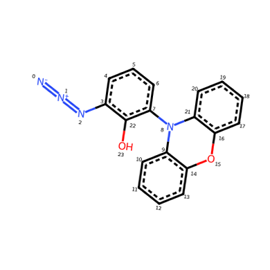 [N-]=[N+]=Nc1cccc(N2c3ccccc3Oc3ccccc32)c1O